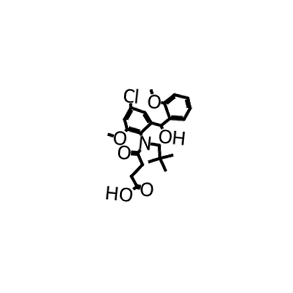 COc1ccccc1C(O)c1cc(Cl)cc(OC)c1N(CC(C)(C)C)C(=O)CCC(=O)O